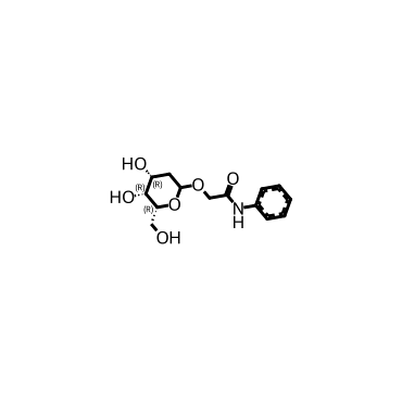 O=C(COC1C[C@@H](O)[C@@H](O)[C@@H](CO)O1)Nc1ccccc1